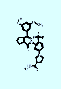 CNC(=O)[C@@H]1CCN(c2ccc(C(F)(F)F)c(-n3nc(-c4cc(OC)cc(OC)c4)c4c(c3=O)CCC4)c2)C1